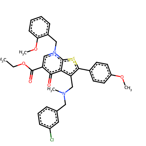 CCOC(=O)c1cn(Cc2ccccc2OC)c2sc(-c3ccc(OC)cc3)c(CN(C)Cc3cccc(Cl)c3)c2c1=O